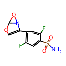 NS(=O)(=O)c1cc(F)c(C2=COC3ON23)cc1F